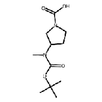 CN(C(=O)OC(C)(C)C)C1CCN(C(=O)O)C1